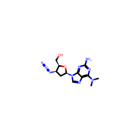 CN(C)c1nc(N)nc2c1ncn2[C@H]1C[C@@H](N=[N+]=[N-])[C@@H](CO)O1